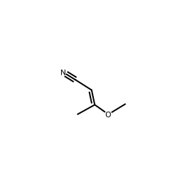 COC(C)=CC#N